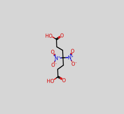 O=C(O)CCC(CCC(=O)O)([N+](=O)[O-])[N+](=O)[O-]